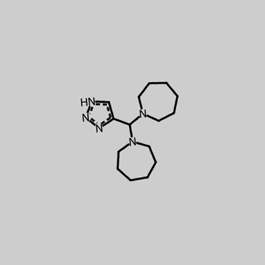 c1[nH]nnc1C(N1CCCCCC1)N1CCCCCC1